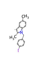 Cc1ccc2c([c]c(C)n2Cc2ccc(I)cc2)c1